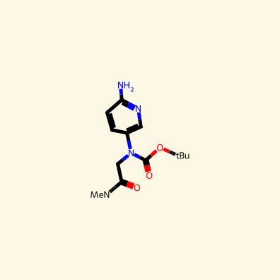 CNC(=O)CN(C(=O)OC(C)(C)C)c1ccc(N)nc1